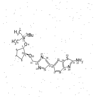 CC(C)(C)[Si](C)(C)OC1CCC[C@@H]1OCc1ncc(-c2ccc3nc(N)sc3c2)cn1